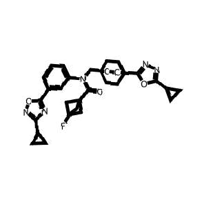 O=C(N(CC12CCC(c3nnc(C4CC4)o3)(CC1)CC2)c1cccc(-c2nc(C3CC3)no2)c1)C12CC(F)(C1)C2